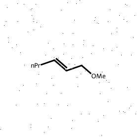 [CH2]OC/C=C/CCC